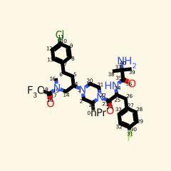 CCCC1CN(C(CCc2ccc(Cl)cc2)CN(C)C(=O)C(F)(F)F)CCN1C(=O)C(Cc1ccc(F)cc1)NC(=O)C(C)(C)N